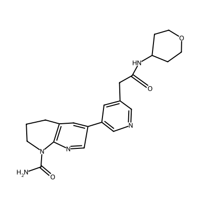 NC(=O)N1CCCc2cc(-c3cncc(CC(=O)NC4CCOCC4)c3)cnc21